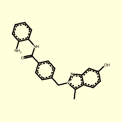 Cc1c2ccc(O)cc2nn1Cc1ccc(C(=O)Nc2ccccc2N)cc1